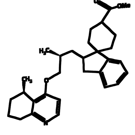 COC(=O)C1CCC2(CC1)c1ccccc1CC2C[C@@H](C)COc1ccnc2c1[C@H](C)CCC2